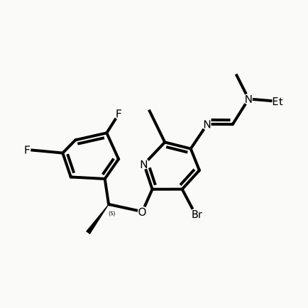 CCN(C)C=Nc1cc(Br)c(O[C@@H](C)c2cc(F)cc(F)c2)nc1C